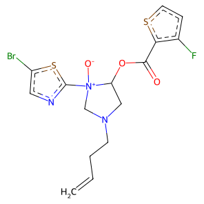 C=CCCN1CC(OC(=O)c2sccc2F)[N+]([O-])(c2ncc(Br)s2)C1